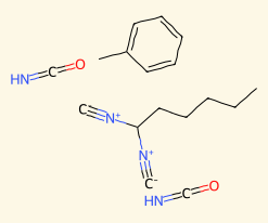 Cc1ccccc1.N=C=O.N=C=O.[C-]#[N+]C(CCCCC)[N+]#[C-]